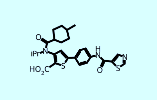 CC1CCC(C(=O)N(c2cc(-c3ccc(NC(=O)c4cncs4)cc3)sc2C(=O)O)C(C)C)CC1